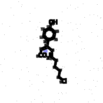 O=C(O)/C=C(\CCCCCCCl)c1ccc(O)cc1